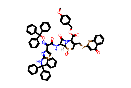 COc1ccc(COC(=O)C2=C(CSc3cc(=O)c4ccccc4s3)C[S+]([O-])[C@H]3C(NC(=O)/C(=N\OC(c4ccccc4)(c4ccccc4)c4ccccc4)c4csc(NC(c5ccccc5)(c5ccccc5)c5ccccc5)n4)C(=O)N23)cc1